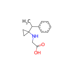 CC(c1ccccc1)C1(NCC(=O)O)CC1